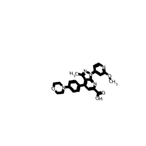 COc1cc(-n2nc(C)c3c(-c4ccc(N5CCOCC5)cc4)cc(C(=O)O)nc32)ccn1